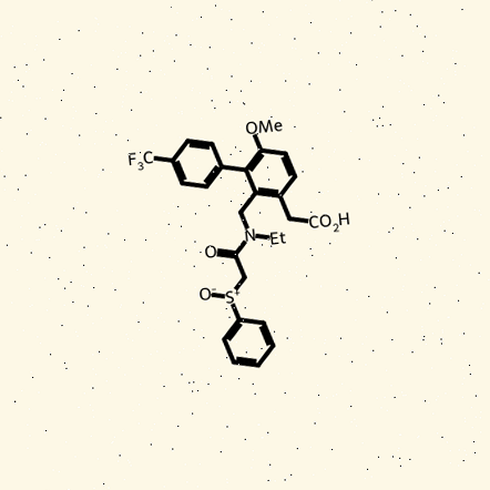 CCN(Cc1c(CC(=O)O)ccc(OC)c1-c1ccc(C(F)(F)F)cc1)C(=O)C[S+]([O-])c1ccccc1